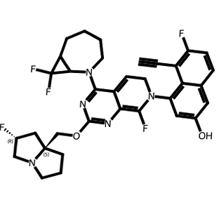 C#Cc1c(F)ccc2cc(O)cc(N3CC=c4c(N5CCCCC6C5C6(F)F)nc(OC[C@@]56CCCN5C[C@H](F)C6)nc4=C3F)c12